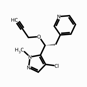 C#CCO[C@H](Cc1cccnc1)c1c(Cl)cnn1C